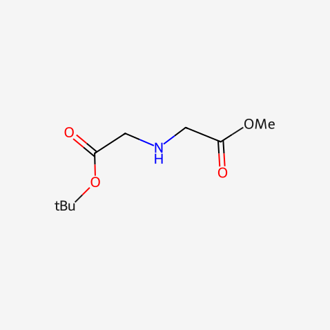 COC(=O)CNCC(=O)OC(C)(C)C